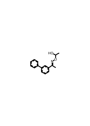 CC(=NOC(C)O)c1cccc(-c2ccccc2)c1